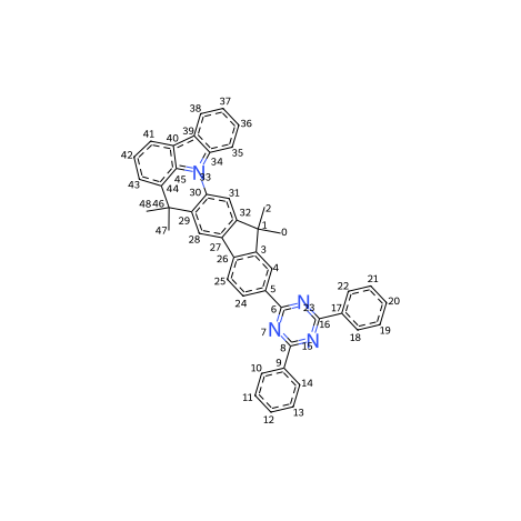 CC1(C)c2cc(-c3nc(-c4ccccc4)nc(-c4ccccc4)n3)ccc2-c2cc3c(cc21)-n1c2ccccc2c2cccc(c21)C3(C)C